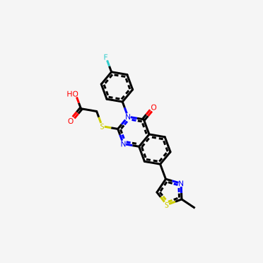 Cc1nc(-c2ccc3c(=O)n(-c4ccc(F)cc4)c(SCC(=O)O)nc3c2)cs1